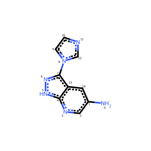 Nc1cnc2[nH]nc(-n3ccnc3)c2c1